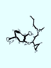 CCCN(C)CCC(Oc1cc(Cl)ccc1Cl)C1CC1